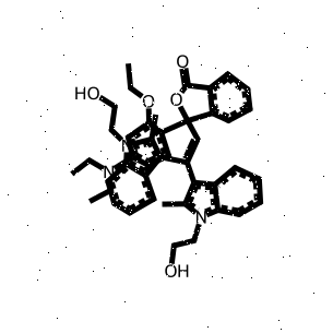 CCOc1cc(N(CC)CC)ccc1C1(C=C(c2c(C)n(CCO)c3ccccc23)c2c(C)n(CCO)c3ccccc23)OC(=O)c2ccccc21